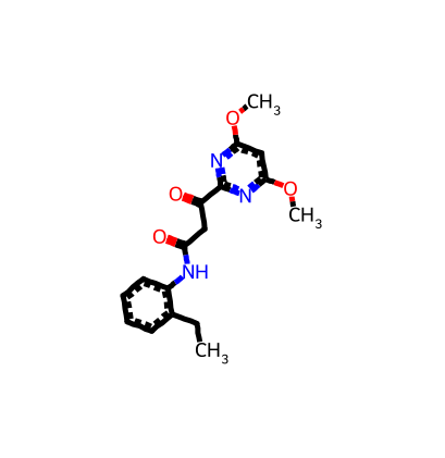 CCc1ccccc1NC(=O)CC(=O)c1nc(OC)cc(OC)n1